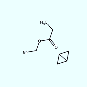 C1C2CC12.CCC(=O)OCBr